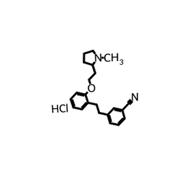 CN1CCCC1CCOc1ccccc1CCc1cccc(C#N)c1.Cl